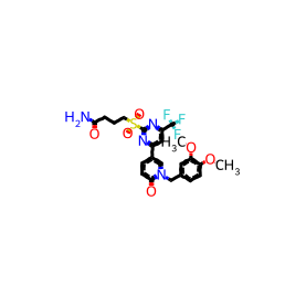 COc1ccc(Cn2cc(-c3cc(C(F)(F)F)nc(S(=O)(=O)CCCC(N)=O)n3)ccc2=O)cc1OC